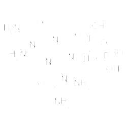 NC(=O)N(N)c1nc(OP(=O)(O)OP(=O)(O)O)nc(N(N)C(N)=O)n1